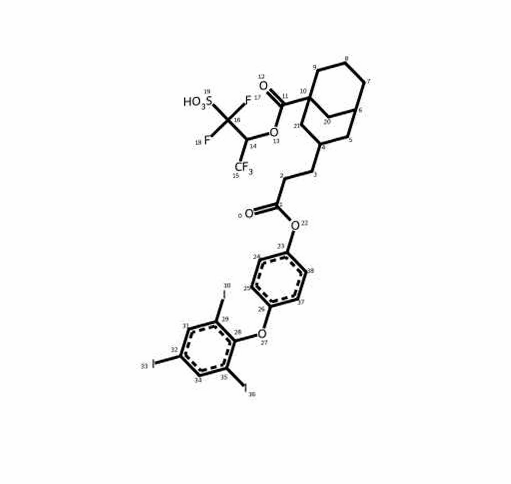 O=C(CCC1CC2CCCC(C(=O)OC(C(F)(F)F)C(F)(F)S(=O)(=O)O)(C2)C1)Oc1ccc(Oc2c(I)cc(I)cc2I)cc1